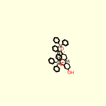 C[C@]12CC[C@@H]3[C@@H](CCC4=CC(O)CC[C@@]43CO[Si](c3ccccc3)(c3ccccc3)c3ccccc3)[C@@H]1CCC2O[Si](c1ccccc1)(c1ccccc1)c1ccccc1